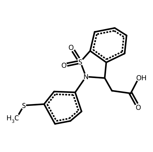 CSc1cccc(N2C(CC(=O)O)c3ccccc3S2(=O)=O)c1